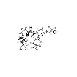 CC1(O)CN(c2ccc(C(=O)Nc3cccc(S(=O)(=O)NC(C)(C)C)n3)c(N3CCC4(CC3)CC4)n2)C1